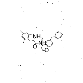 Cc1cc(C)c(C[C@H](N)C(=O)N[C@H]2CCOc3ccc(Cc4ccccc4)cc32)c(C)c1